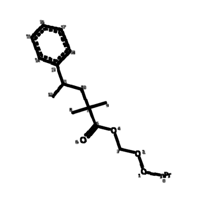 CCCOOCOC(=O)C(C)(C)CC(C)c1ccccc1